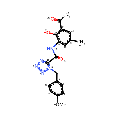 COc1ccc(Cn2nnnc2C(=O)Nc2cc(C)cc(C(=O)C(F)(F)F)c2O)cc1